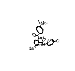 COc1ccc(NC(=O)[C@H]2CC[C@H](N(C)C(C)=O)CC2)c(C(=O)Nc2ccc(Cl)cn2)c1